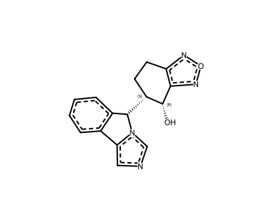 O[C@H]1c2nonc2CC[C@H]1C1c2ccccc2-c2cncn21